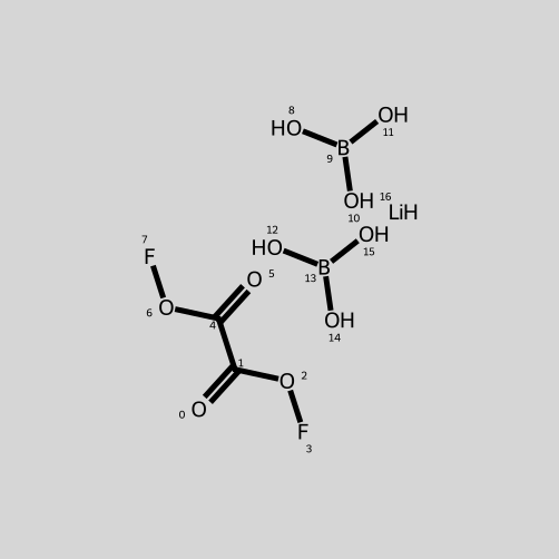 O=C(OF)C(=O)OF.OB(O)O.OB(O)O.[LiH]